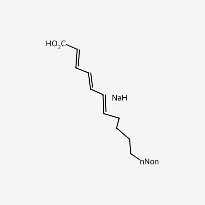 CCCCCCCCCCCCCC=CC=CC=CC(=O)O.[NaH]